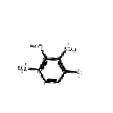 CCc1ccc(C(=O)O)c(OC)c1C(=O)O